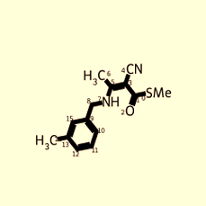 CSC(=O)/C(C#N)=C(/C)NCc1cccc(C)c1